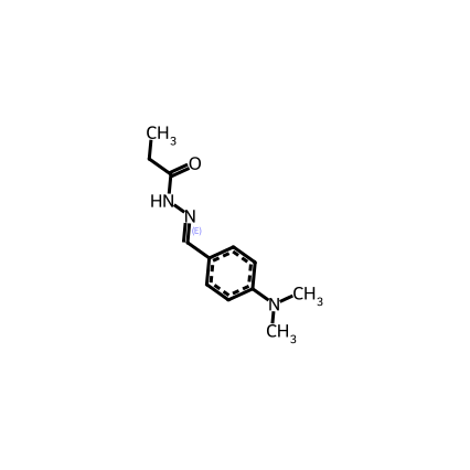 CCC(=O)N/N=C/c1ccc(N(C)C)cc1